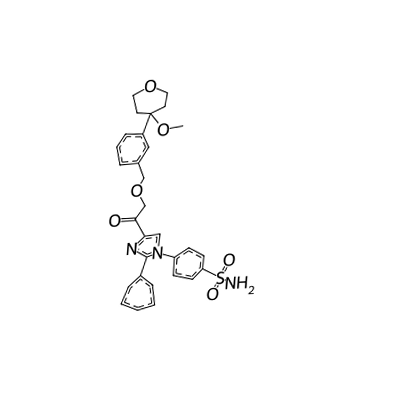 COC1(c2cccc(COCC(=O)c3cn(-c4ccc(S(N)(=O)=O)cc4)c(-c4ccccc4)n3)c2)CCOCC1